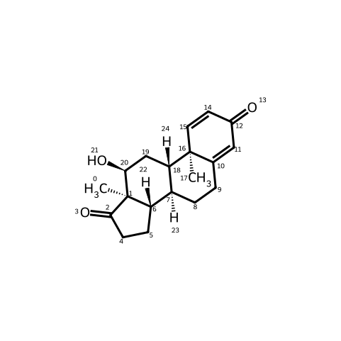 C[C@@]12C(=O)CC[C@H]1[C@@H]1CCC3=CC(=O)C=C[C@]3(C)[C@H]1C[C@@H]2O